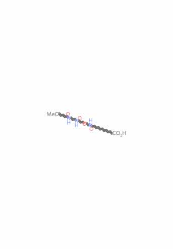 COCCCCC(=O)NCCCNC(=O)CCOCCNC(=O)CCCCCCCCCCC(=O)O